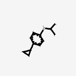 CC(C)Oc1[c]cc(C2CC2)cc1